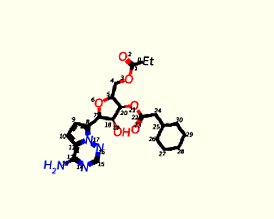 CCC(=O)OCC1OC(c2ccc3c(N)ncnn23)[C@H](O)[C@@H]1OC(=O)CC1CCCCC1